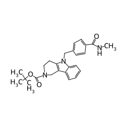 CNC(=O)c1ccc(Cn2c3c(c4ccccc42)CN(C(=O)OC(C)(C)C)CC3)cc1